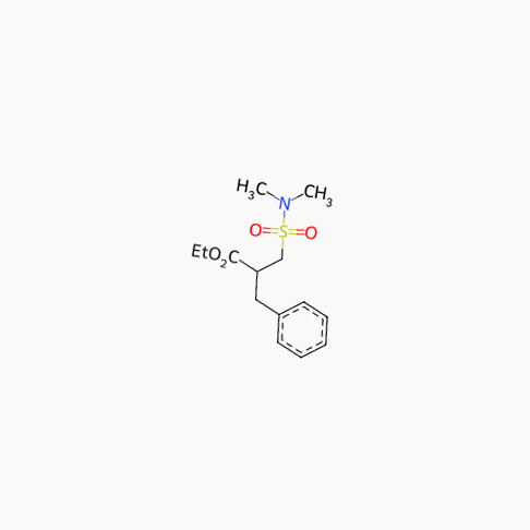 CCOC(=O)C(Cc1ccccc1)CS(=O)(=O)N(C)C